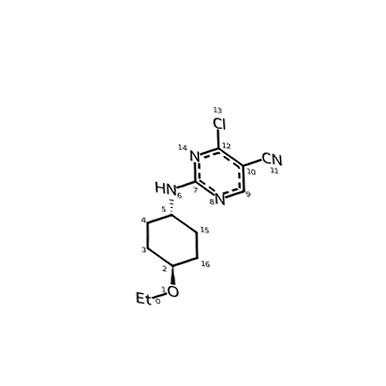 CCO[C@H]1CC[C@H](Nc2ncc(C#N)c(Cl)n2)CC1